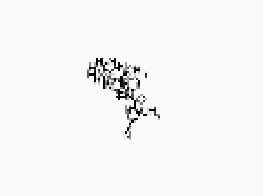 Cc1cc(C#N)cnc1C(=O)Nc1ccc(F)c([C@@]2(C)N=C(N)C(C)(C)S3(O)NCC(F)(F)C[C@@H]23)n1